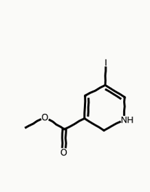 COC(=O)C1=CC(I)=CNC1